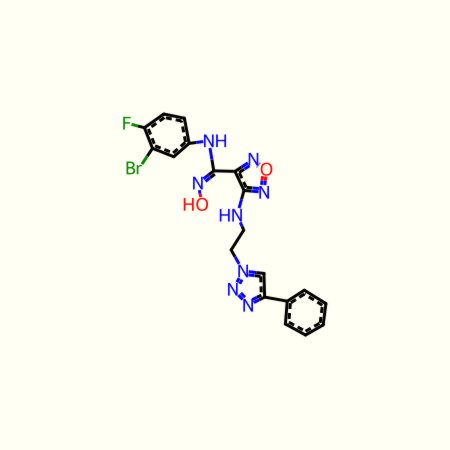 ON=C(Nc1ccc(F)c(Br)c1)c1nonc1NCCn1cc(-c2ccccc2)nn1